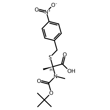 CN(C(=O)OC(C)(C)C)[C@](C)(SCc1ccc([N+](=O)[O-])cc1)C(=O)O